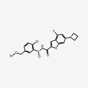 CCOCc1ccc(Cl)c([S+]([O-])NC(=O)c2cc3c(F)cc(N4CCC4)cc3o2)c1